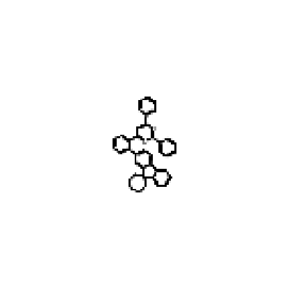 c1ccc(-c2cc(-c3ccccc3-c3ccc4c(c3)C3(CCCCC3)c3ccccc3-4)nc(-c3ccccc3)n2)cc1